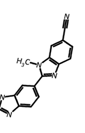 Cn1c(-c2ccc3nc[nH]c3c2)nc2ccc(C#N)cc21